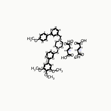 COc1ccc(-c2cc(CN3CCN(Cc4ccnc(-c5cc(OC)c(OC)c(OC)c5)c4)CC3)ccn2)cc1.O=C(O)/C=C/C(=O)O.O=C(O)/C=C/C(=O)O